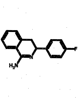 NC1=NC(c2ccc(F)cc2)Cc2ccccc21